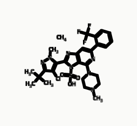 C.CN1CCN(c2nc(-c3ccccc3C(F)(F)F)cc3nc(-c4c(Cl)c(C(C)(C)C)nn4C)n(S(=O)(=O)O)c23)CC1